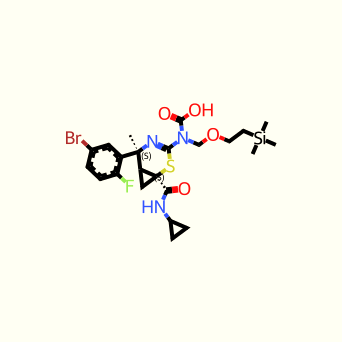 C[C@]1(c2cc(Br)ccc2F)N=C(N(COCC[Si](C)(C)C)C(=O)O)S[C@@]2(C(=O)NC3CC3)CC21